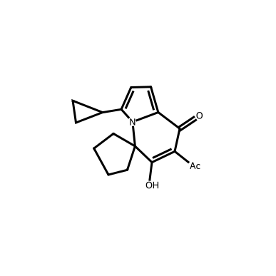 CC(=O)C1=C(O)C2(CCCC2)n2c(ccc2C2CC2)C1=O